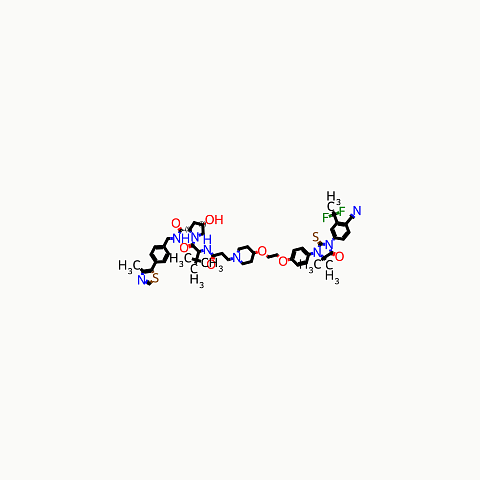 Cc1ncsc1-c1ccc(CNC(=O)[C@@H]2C[C@@H](O)CN2C(=O)C(NC(=O)CCN2CCC(OCCOc3ccc(N4C(=S)N(c5ccc(C#N)c(C(C)(F)F)c5)C(=O)C4(C)C)cc3)CC2)C(C)(C)C)cc1